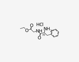 CCOC(=O)CNC(=O)[C@@H](N)Cc1ccccc1.Cl